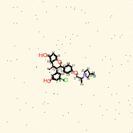 CC1=C(c2cc(O)cc(Cl)c2)C(c2ccc(OCC(C)N3CCC(CF)C3)cc2)Oc2ccc(O)cc21